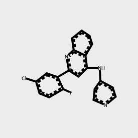 Fc1ccc(Cl)cc1-c1cc(Nc2ccncc2)c2ccccc2n1